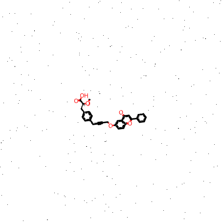 CO[C@@H](Cc1ccc(CC#CCOc2ccc3oc(-c4ccccc4)cc(=O)c3c2)cc1)C(=O)O